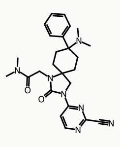 CN(C)C(=O)CN1C(=O)N(c2ccnc(C#N)n2)CC12CCC(c1ccccc1)(N(C)C)CC2